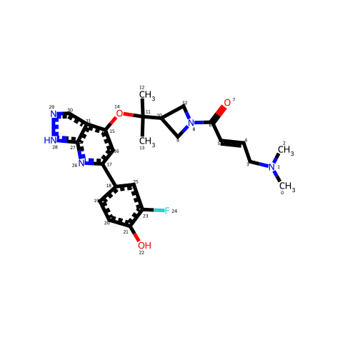 CN(C)C/C=C/C(=O)N1CC(C(C)(C)Oc2cc(-c3ccc(O)c(F)c3)nc3[nH]ncc23)C1